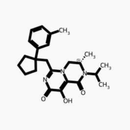 Cc1cccc(C2(Cc3nc(=O)c(O)c4n3C[C@H](C)N(C(C)C)C4=O)CCCC2)c1